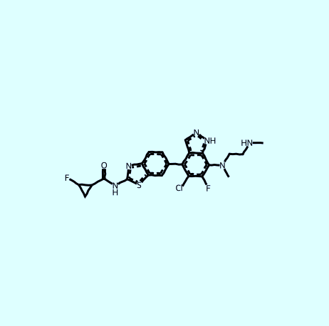 CNCCN(C)c1c(F)c(Cl)c(-c2ccc3nc(NC(=O)C4CC4F)sc3c2)c2cn[nH]c12